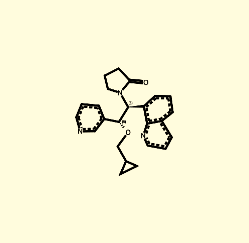 O=C1CCCN1[C@@H](c1cccc2cccnc12)[C@H](OCC1CC1)c1cccnc1